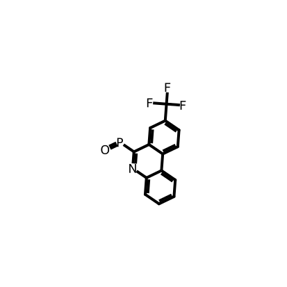 O=Pc1nc2ccccc2c2ccc(C(F)(F)F)cc12